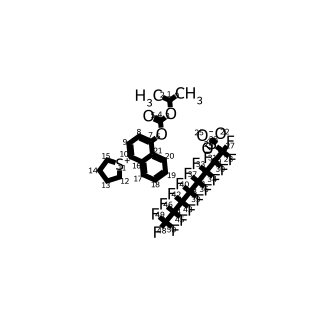 CC(C)OC(=O)Oc1ccc([S+]2CCCC2)c2ccccc12.O=S(=O)([O-])C(F)(F)C(F)(F)C(F)(F)C(F)(F)C(F)(F)C(F)(F)C(F)(F)C(F)(F)F